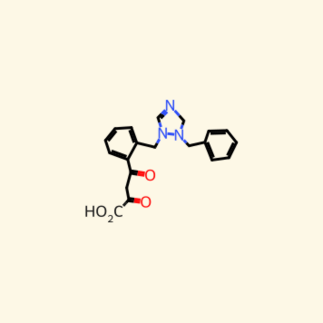 O=C(O)C(=O)CC(=O)c1ccccc1CN1C=NCN1Cc1ccccc1